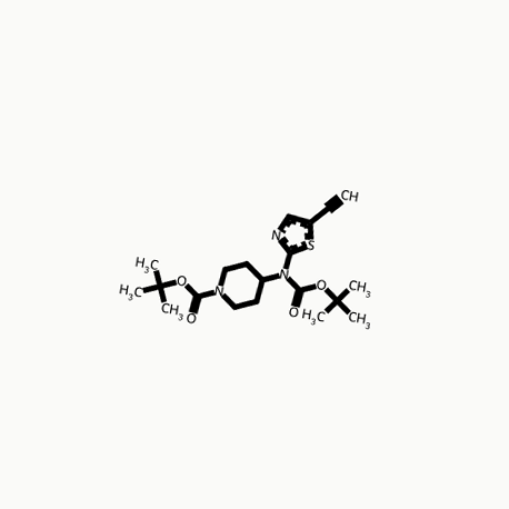 C#Cc1cnc(N(C(=O)OC(C)(C)C)C2CCN(C(=O)OC(C)(C)C)CC2)s1